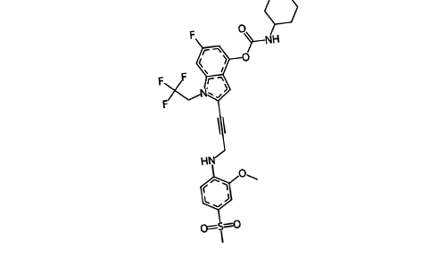 COc1cc(S(C)(=O)=O)ccc1NCC#Cc1cc2c(OC(=O)NC3CCN(C)CC3)cc(F)cc2n1CC(F)(F)F